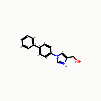 OCc1cn(-c2ccc(-c3ccccc3)cc2)cn1